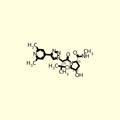 CNC(=O)[C@@H]1C[C@@H](O)CN1C(=O)[C@@H](n1cc(-c2cc(C)nc(C)c2)nn1)C(C)(C)C